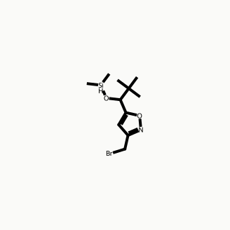 C[SiH](C)OC(c1cc(CBr)no1)C(C)(C)C